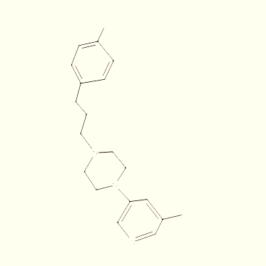 Oc1cncc(N2CCN(CCCc3ccc(Cl)cc3)CC2)c1